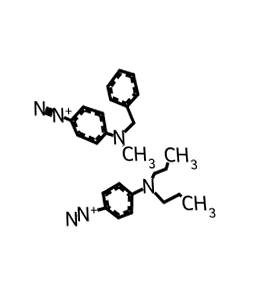 CCCN(CCC)c1ccc([N+]#N)cc1.CN(Cc1ccccc1)c1ccc([N+]#N)cc1